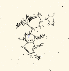 C=N/N=C(/c1cc(-c2ccsc2)cnc1NC)N(N)c1cccc(F)c1F